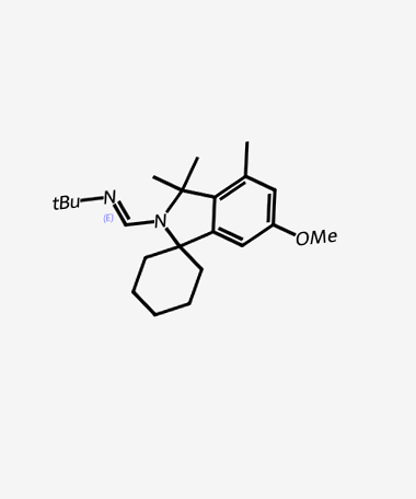 COc1cc(C)c2c(c1)C1(CCCCC1)N(/C=N/C(C)(C)C)C2(C)C